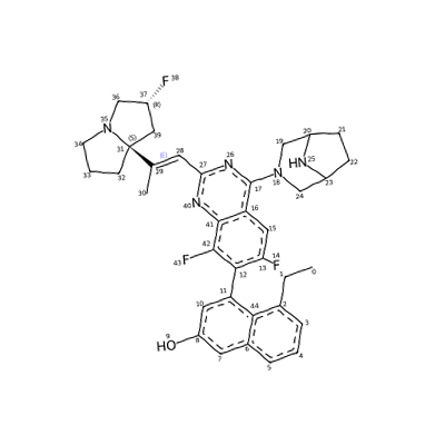 CCc1cccc2cc(O)cc(-c3c(F)cc4c(N5CC6CCC(C5)N6)nc(/C=C(\C)[C@@]56CCCN5C[C@H](F)C6)nc4c3F)c12